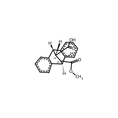 COC(=O)[C@H]1[C@H]2c3ccccc3[C@@H](c3ccccc32)[C@@H]1C(=O)O